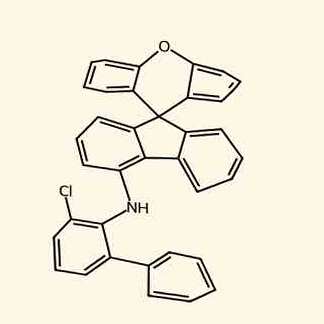 Clc1cccc(-c2ccccc2)c1Nc1cccc2c1-c1ccccc1C21c2ccccc2Oc2ccccc21